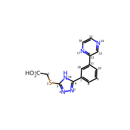 O=C(O)CSc1nnc(-c2cccc(-c3cnccn3)c2)[nH]1